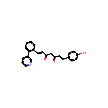 O=C(C=Cc1ccc(O)cc1)CC(=O)C=Cc1ccccc1-c1cccnc1